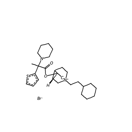 CC(C(=O)O[C@H]1C[N+]2(CCC3CCCCC3)CCC1CC2)(c1cccs1)N1CCCCC1.[Br-]